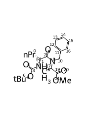 CCC[C@@H](NC(=O)OC(C)(C)C)C(=O)N(Cc1ccccc1)C(C)C(=O)OC